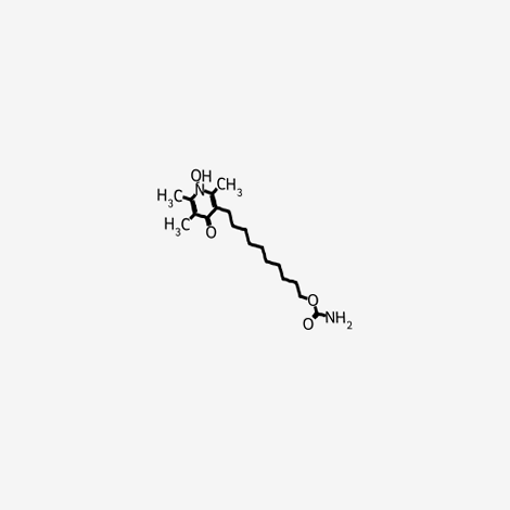 Cc1c(C)n(O)c(C)c(CCCCCCCCCCOC(N)=O)c1=O